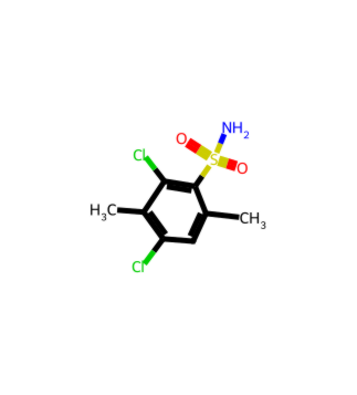 Cc1cc(Cl)c(C)c(Cl)c1S(N)(=O)=O